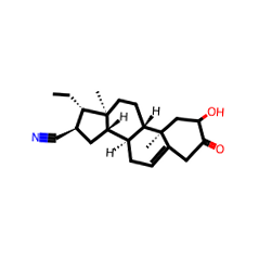 CC[C@H]1[C@H](C#N)C[C@H]2[C@@H]3CC=C4CC(=O)C(O)C[C@]4(C)[C@H]3CC[C@@]21C